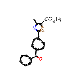 Cc1nc(-c2ccc(C(=O)c3ccccc3)cc2)sc1C(=O)O